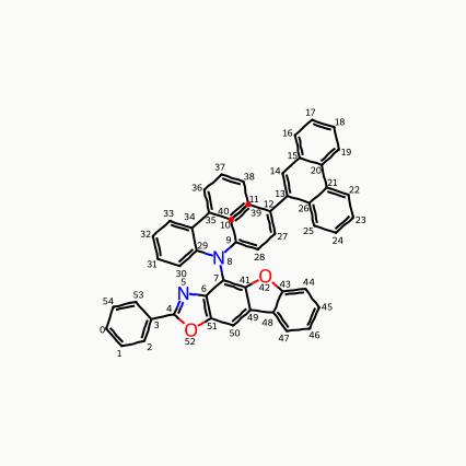 c1ccc(-c2nc3c(N(c4ccc(-c5cc6ccccc6c6ccccc56)cc4)c4ccccc4-c4ccccc4)c4oc5ccccc5c4cc3o2)cc1